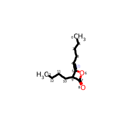 CCCC/C=C1\OC(=O)C1CCCC